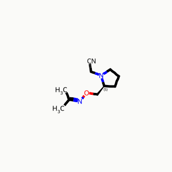 CC(C)=NOC[C@@H]1CCCN1CC#N